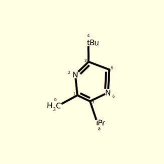 Cc1nc(C(C)(C)C)cnc1C(C)C